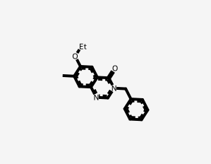 CCOc1cc2c(=O)n(Cc3ccccc3)cnc2cc1C